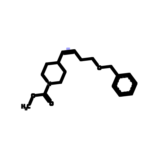 COC(=O)N1CCC(/C=C\CCOCc2ccccc2)CC1